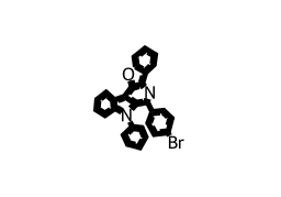 Brc1ccc(-c2nc3c4ccccc4oc3c3c4ccccc4n(-c4ccccc4)c23)cc1